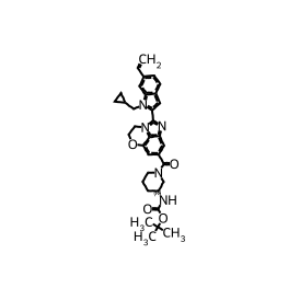 C=Cc1ccc2cc(-c3nc4cc(C(=O)N5CCC[C@@H](NC(=O)OC(C)(C)C)C5)cc5c4n3CCO5)n(CC3CC3)c2c1